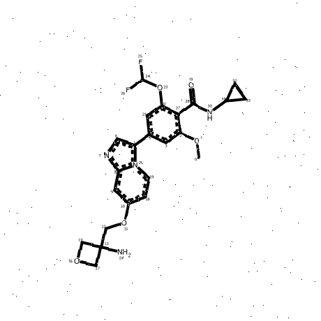 COc1cc(-c2cnc3cc(OCC4(N)COC4)ccn23)cc(OC(F)F)c1C(=O)NC1CC1